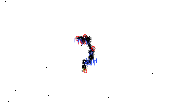 C[S+]([O-])c1ccc(-c2ccc/c(=N/C(=N)Nc3ccc(N4CCN(C(=O)CCCCNc5cccc6c5C(O)N(C5CCC(=O)NC5=O)C6=O)CC4)cc3)[nH]2)cc1